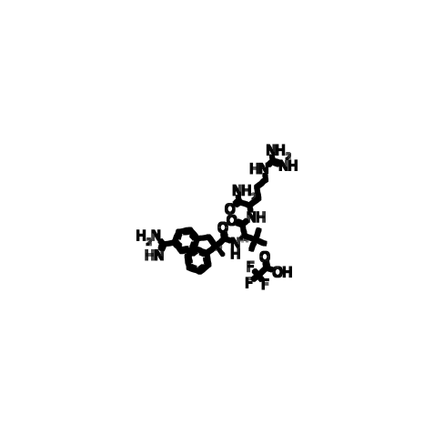 CC(C)(C)[C@H](NC(=O)[C@@](C)(Cc1ccc(C(=N)N)cc1)c1ccccc1)C(=O)NC(CCCNC(=N)N)C(N)=O.O=C(O)C(F)(F)F